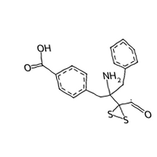 NC(Cc1ccccc1)(Cc1ccc(C(=O)O)cc1)C1([C]=O)SS1